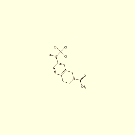 CC(=O)N1CCc2ccc([S+]([O-])C(Cl)(Cl)Cl)cc2C1